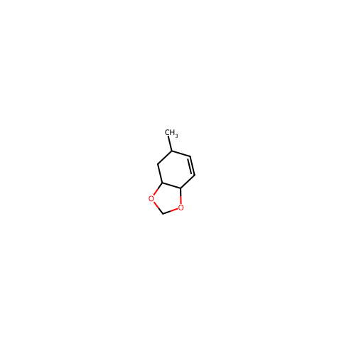 CC1C=CC2OCOC2C1